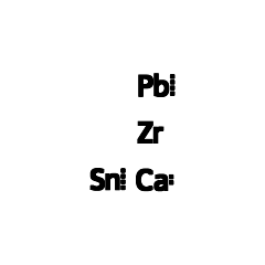 [Ca].[Pb].[Sn].[Zr]